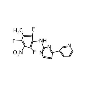 Cc1c(F)c(Nc2nccc(-c3cccnc3)n2)c(F)c([N+](=O)[O-])c1F